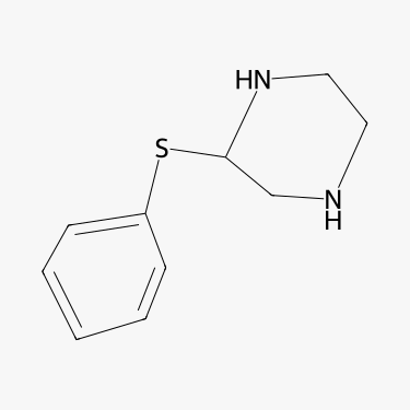 c1ccc(SC2CNCCN2)cc1